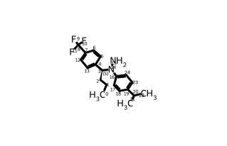 CCC[C@@H](c1ccc(C(F)(F)F)cc1)N(N)c1ccc(C(C)C)cc1